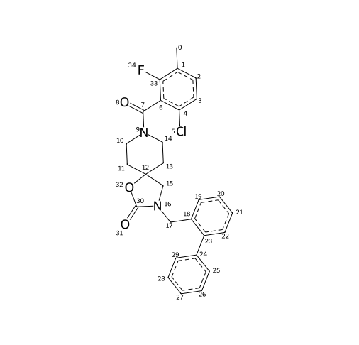 Cc1ccc(Cl)c(C(=O)N2CCC3(CC2)CN(Cc2ccccc2-c2ccccc2)C(=O)O3)c1F